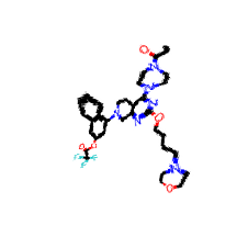 C=CC(=O)N1CCN(c2nc(OCCCCN3CCOCC3)nc3c2CCN(c2cc(OC(=O)C(F)(F)F)cc4ccccc24)C3)CC1